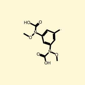 [CH2]c1cc(N(OC)C(=O)O)cc(N(OC)C(=O)O)c1